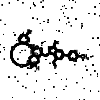 CC(=O)c1nn(CC(=O)N2C[C@@H]3C[C@]34COCCCCOCc3ccc(Br)nc3NC(=O)[C@@H]2C4)c2c(CF)cc(-c3cnc(C)nc3)cc12